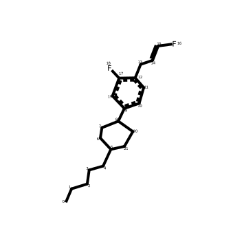 CCCCCC1CCC(c2ccc(CC=CF)c(F)c2)CC1